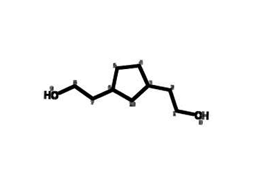 OCCC1CCC(CCO)C1